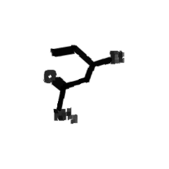 C=CC(CC)CC(N)=O